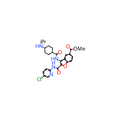 COC(=O)c1ccc2oc(C(=O)Nc3ccc(Cl)cn3)c(NC(=O)C3CCC(NC(C)C)CC3)c2c1